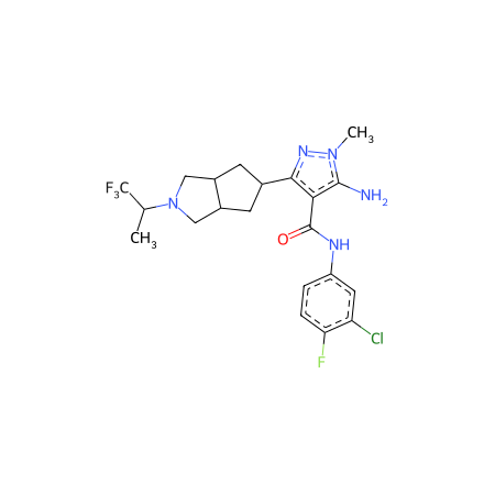 CC(N1CC2CC(c3nn(C)c(N)c3C(=O)Nc3ccc(F)c(Cl)c3)CC2C1)C(F)(F)F